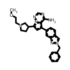 COCCN1CCC(c2cc(-c3ccc4cn(Cc5ccccc5)nc4c3)c3c(N)ncnn23)C1